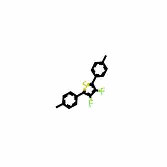 Cc1ccc(-c2sc(-c3ccc(C)cc3)c(F)c2F)cc1